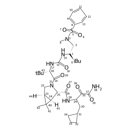 CC[C@H](C)[C@@H](CN(C)S(=O)(=O)c1ccccc1)NC(=O)N[C@H](C(=O)N1C[C@H]2[C@@H]([C@H]1C(=O)NC(CC1CCC1)C(=O)C(N)=O)C2(C)C)C(C)(C)C